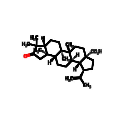 C=C(C)[C@@H]1CC[C@]2(C(=O)O)CC[C@]3(C)[C@H](CC[C@@H]4[C@@]5(C)CC(=O)C(C)(C)[C@@H]5CC[C@]43C)[C@@H]12